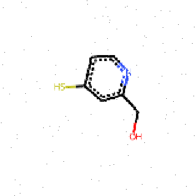 OCc1cc(S)ccn1